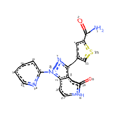 NC(=O)c1cc(-c2nn(-c3ccccn3)c3cc[nH]c(=O)c23)cs1